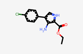 CCOC(=O)c1[nH]cc(-c2ccc(Cl)cc2)c1N